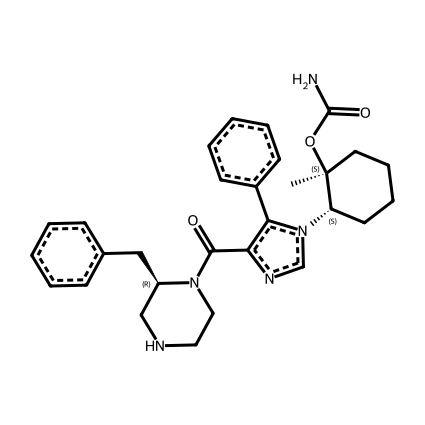 C[C@]1(OC(N)=O)CCCC[C@@H]1n1cnc(C(=O)N2CCNC[C@H]2Cc2ccccc2)c1-c1ccccc1